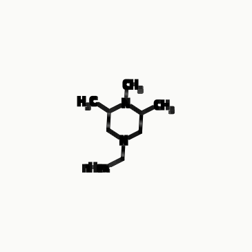 CCCCCCCN1CC(C)N(C)C(C)C1